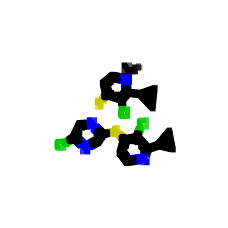 Clc1cnc(Sc2ccnc(C3CC3)c2Cl)cn1.[Na+].[S-]c1ccnc(C2CC2)c1Cl